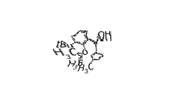 Cc1csc(C(O)c2cccc(C(C)(C)C)c2O[SiH](C)C)c1